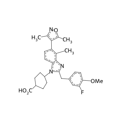 COc1ccc(Cc2nc3c(C)c(-c4c(C)noc4C)ccc3n2C2CCC(C(=O)O)CC2)cc1F